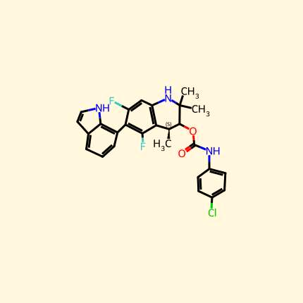 C[C@H]1c2c(cc(F)c(-c3cccc4cc[nH]c34)c2F)NC(C)(C)C1OC(=O)Nc1ccc(Cl)cc1